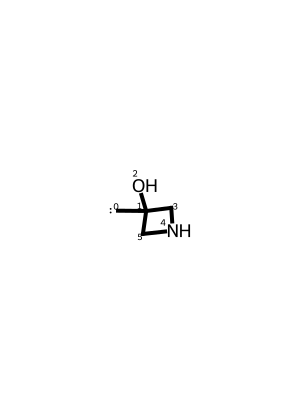 [CH]C1(O)CNC1